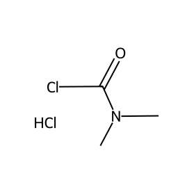 CN(C)C(=O)Cl.Cl